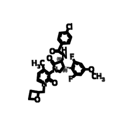 COc1cc(F)c([C@@H]2CN(c3c(C)ccn(CC4CCO4)c3=O)C(=O)[C@H]2NC(=O)c2ccc(Cl)cc2)c(F)c1